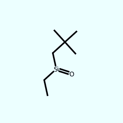 CC[Si](=O)CC(C)(C)C